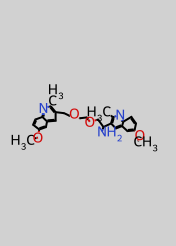 COc1ccc2nc(C)c(CCOCCOCC(N)c3cc4cc(OC)ccc4nc3C)cc2c1